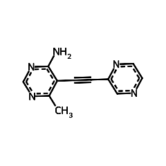 Cc1ncnc(N)c1C#Cc1cnccn1